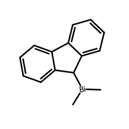 [CH3][Bi]([CH3])[CH]1c2ccccc2-c2ccccc21